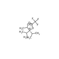 CC(C)[PH](OC(=O)C(F)(F)F)(C(C)C)C(C)C